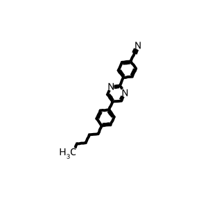 CCCCCc1ccc(-c2cnc(-c3ccc(C#N)cc3)nc2)cc1